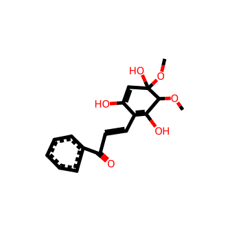 COC1C(O)=C(C=CC(=O)c2ccccc2)C(O)=CC1(O)OC